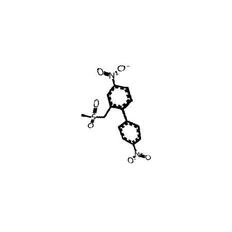 CS(=O)(=O)Cc1cc([N+](=O)[O-])ccc1-c1ccc([N+](=O)[O-])cc1